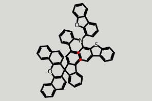 c1ccc(N(c2cccc3c2oc2ccccc23)c2cccc3c2sc2ccccc23)c(-c2ccc3c(c2)C2(c4ccccc4-3)c3ccc4ccccc4c3Oc3c2ccc2ccccc32)c1